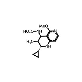 COc1nccc2c1[C@H](NC(=O)O)[C@H](C)[C@@H](C1CC1)N2